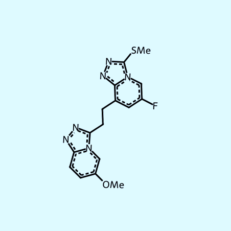 COc1ccc2nnc(CCc3cc(F)cn4c(SC)nnc34)n2c1